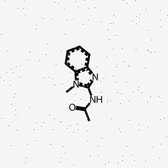 CC(=O)Nc1nc2ccccc2n1C